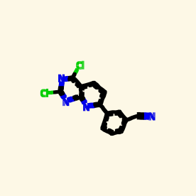 N#Cc1cccc(-c2ccc3c(Cl)nc(Cl)nc3n2)c1